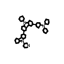 c1ccc(N(c2ccccc2)c2ccc(-c3ccc4c(c3)c3cc(-c5ccc6c(c5)c5ccccc5n6-c5cccnc5)ccc3n4-c3ccccc3)cc2)cc1